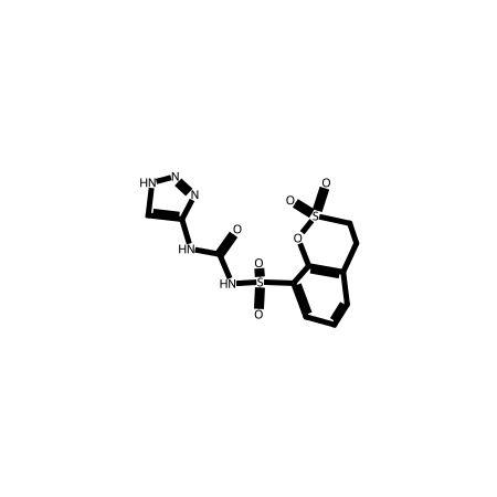 O=C(Nc1c[nH]nn1)NS(=O)(=O)c1cccc2c1OS(=O)(=O)CC2